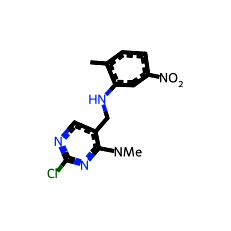 CNc1nc(Cl)ncc1CNc1cc([N+](=O)[O-])ccc1C